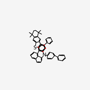 CC1(C)CCC(C)(C)c2cc3c(cc21)sc1c(-c2cccc4cccc(N(c5ccc(-c6ccccc6)cc5)c5cccc(-c6ccccc6)c5)c24)cccc13